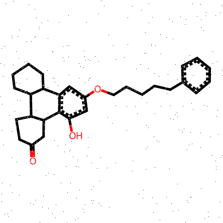 O=C1CCC2C(C1)c1c(O)cc(OCCCCCc3ccccc3)cc1C1CCCCC12